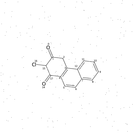 O=C1Cc2c(ccc3ccccc23)C(=O)C1Cl